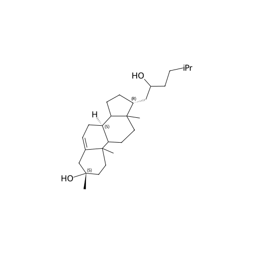 CC(C)CCC(O)C[C@H]1CCC2[C@@H]3CC=C4C[C@@](C)(O)CCC4(C)C3CCC21C